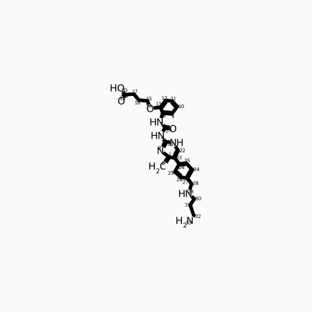 C=C1N=C(NC(=O)Nc2ccccc2OCCCC(=O)O)NC=C1c1ccc(CNCCCN)cc1